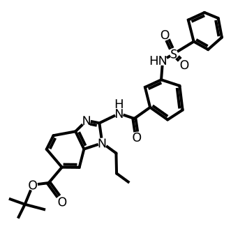 CCCn1c(NC(=O)c2cccc(NS(=O)(=O)c3ccccc3)c2)nc2ccc(C(=O)OC(C)(C)C)cc21